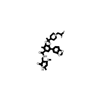 CSc1cc(C)[nH]c(=O)c1CNC(=O)c1cc(-c2ccc3c(c2)OCO3)c2c(c1C)OC(C)(C1CCN(CC(F)F)CC1)O2